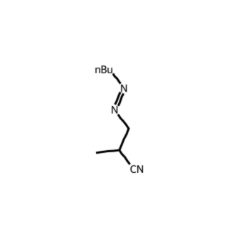 CCCCN=NCC(C)C#N